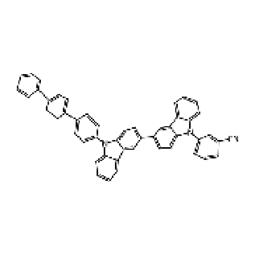 N#Cc1cccc(-n2c3ccccc3c3cc(-c4ccc5c(c4)c4ccccc4n5-c4ccc(C5=CC=C(c6ccccc6)CC5)cc4)ccc32)c1